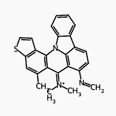 C=Nc1ccc2c3ccccc3n3c4c(c(C)cc5sccc54)c(=[N+](C)C)c1c23